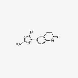 Nc1nc(-c2ccc3c(c2)CCC(=O)N3)c(Cl)s1